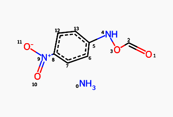 N.O=CONc1ccc([N+](=O)[O-])cc1